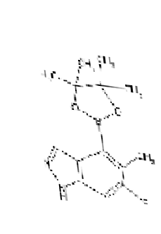 Cc1c(F)cc2[nH]ncc2c1B1OC(C)(C)C(C)(C)O1